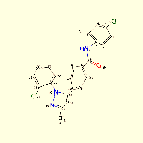 Cc1cc(Cl)ccc1NC(=O)c1ccc(-c2cc(C(F)(F)F)nn2-c2ccccc2Cl)cc1